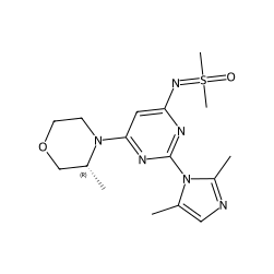 Cc1cnc(C)n1-c1nc(N=S(C)(C)=O)cc(N2CCOC[C@H]2C)n1